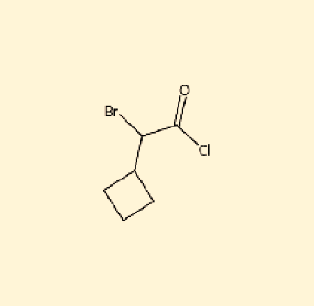 O=C(Cl)C(Br)C1CCC1